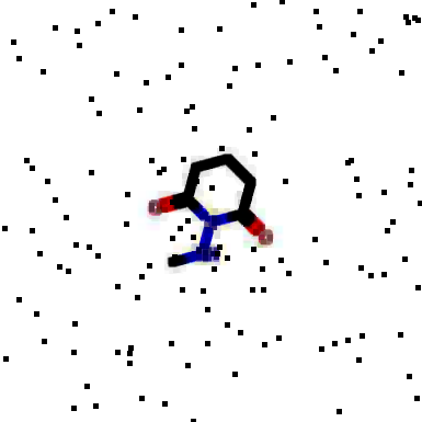 CNN1C(=O)CCCC1=O